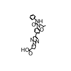 CC1CN(C(=O)Nc2ccccc2)c2ccc(-c3cnc(N4CCC(C(=O)O)C4)nc3)cc2O1